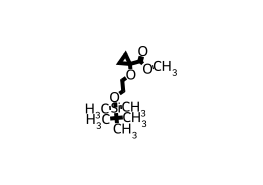 COC(=O)C1(OCCO[Si](C)(C)C(C)(C)C)CC1